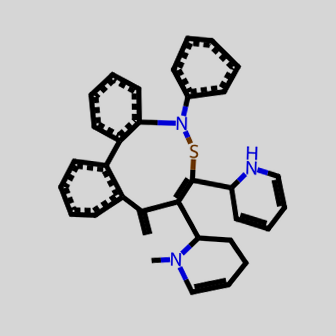 C=C1/C(C2CCC=CN2C)=C(/C2C=CC=CN2)SN(c2ccccc2)c2ccccc2-c2ccccc21